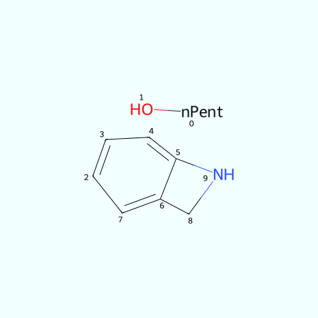 CCCCCO.c1ccc2c(c1)CN2